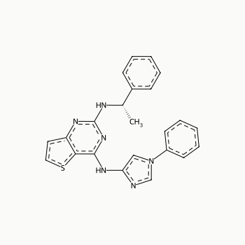 C[C@H](Nc1nc(Nc2cn(-c3ccccc3)cn2)c2sccc2n1)c1ccccc1